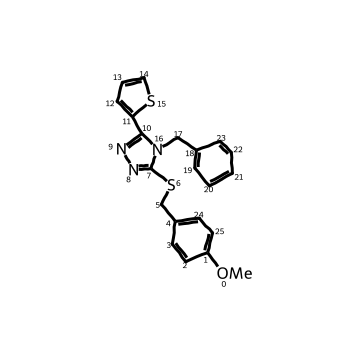 COc1ccc(CSc2nnc(-c3cccs3)n2Cc2ccccc2)cc1